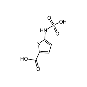 O=C(O)c1ccc(NS(=O)(=O)O)s1